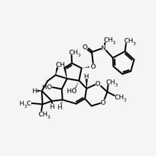 CC1=C[C@]23C(O)[C@@H](C=C4COC(C)(C)O[C@H]4[C@]2(O)[C@H]1OC(=O)N(C)c1ccccc1C)[C@H]1[C@@H](C[C@H]3C)C1(C)C